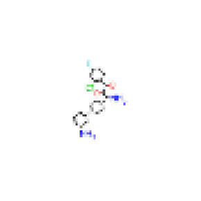 Nc1cccc(-c2ccc3c(N)c(C(=O)c4ccc(F)cc4Cl)oc3c2)c1